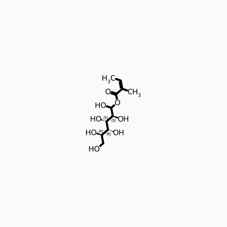 CC=C(C)C(=O)OC(O)[C@@H](O)[C@@H](O)[C@H](O)[C@H](O)CO